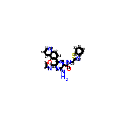 Nc1nc(-c2ncco2)c(-c2ccc3ncccc3c2)nc1C(=O)NCc1nc2ccccc2s1